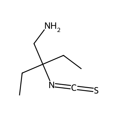 CCC(CC)(CN)N=C=S